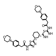 N=C(NC(=O)Cc1ccc(N2CCOCC2)cc1)SC(=N)[C@H]1CCC[C@H](c2nnc(NC(=O)Cc3ccc(N4CCOCC4)cc3)s2)C1